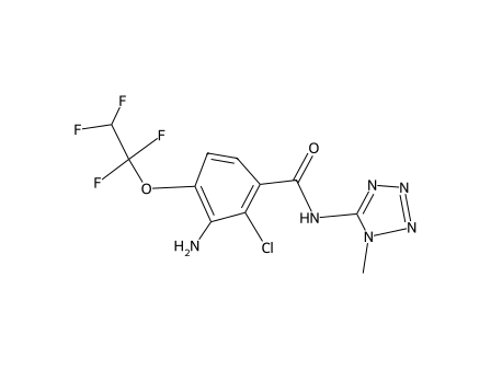 Cn1nnnc1NC(=O)c1ccc(OC(F)(F)C(F)F)c(N)c1Cl